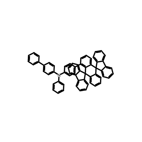 c1ccc(-c2ccc(N(c3ccccc3)c3ccc(-c4cccc5c4C4(c6ccccc6-c6ccccc64)c4ccccc4C54c5ccccc5-c5ccccc54)cc3)cc2)cc1